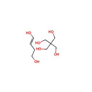 O/C=C/CCO.OCC(CO)(CO)CO